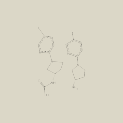 N[C@H]1CCN(c2ccc(I)cn2)C1.O=C(O)N[C@H]1CCN(c2ccc(I)cn2)C1